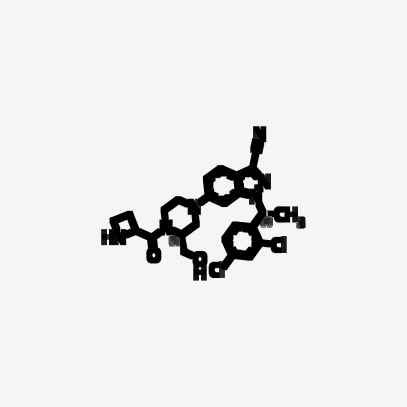 C[C@H](c1ccc(Cl)cc1Cl)n1nc(C#N)c2ccc(N3CCN(C(=O)C4CCN4)[C@H](CO)C3)cc21